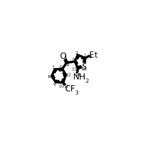 CCc1cc(C(=O)c2cccc(C(F)(F)F)c2)c(N)s1